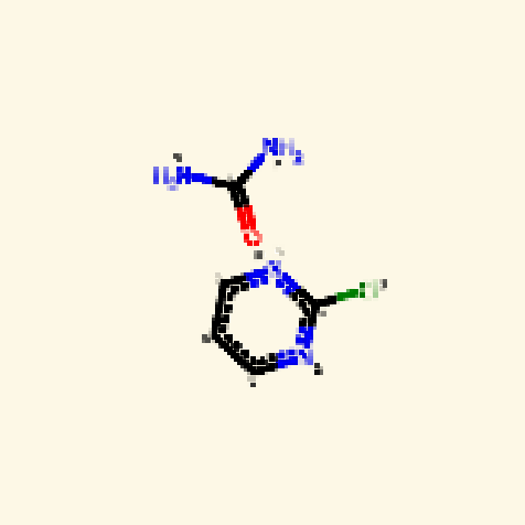 Clc1ncccn1.NC(N)=O